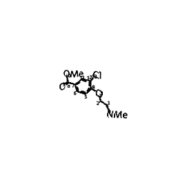 CNCCOc1ccc(C(=O)OC)cc1Cl